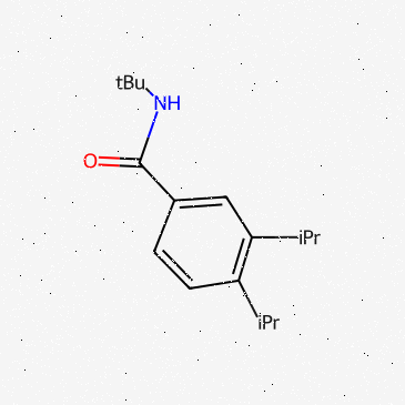 CC(C)c1ccc(C(=O)NC(C)(C)C)cc1C(C)C